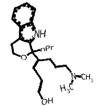 CCCC1(C(CCCO)CCCN(C)C)OCCc2c1[nH]c1ccccc21